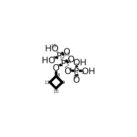 O=P(O)(O)OP(=O)(OC1CCC1)P(=O)(O)O